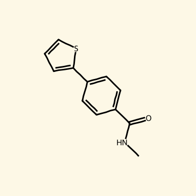 CNC(=O)c1ccc(-c2cccs2)cc1